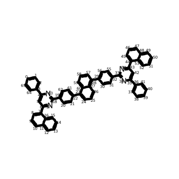 c1ccc(-c2cc(-c3cccc4ccccc34)nc(-c3ccc(-c4cccc5c(-c6ccc(-c7nc(-c8ccccc8)cc(-c8cccc9ccccc89)n7)cc6)cccc45)cc3)n2)cc1